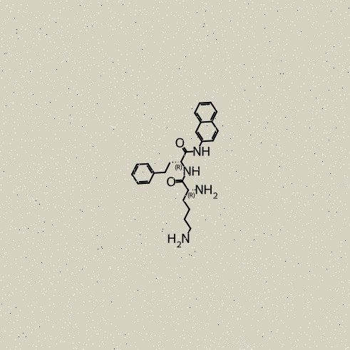 NCCCC[C@@H](N)C(=O)N[C@H](CCc1ccccc1)C(=O)Nc1ccc2ccccc2c1